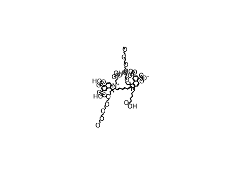 COCCOCCOCCOCCOCCC1(C)C(/C=C/C=C/C=C2/N(CCCCCC(=O)O)c3ccc4c(S(=O)(=O)[O-])cc(S(=O)(=O)O)cc4c3C2(C)CCOCCOCCOCCOCCOC)=[N+](CCCS(=O)(=O)O)c2ccc3c(S(=O)(=O)O)cc(S(=O)(=O)O)cc3c21